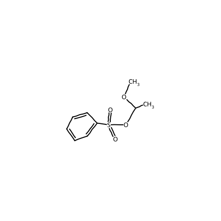 COC(C)OS(=O)(=O)c1ccccc1